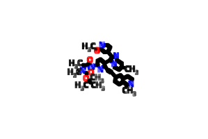 COc1cc(-c2nc3cc(C)ccn3c2-c2ccc(NC(=O)C(C)N(C)C(=O)OC(C)(C)C)nc2C#Cc2ccc3c(C)nccc3c2)ccn1